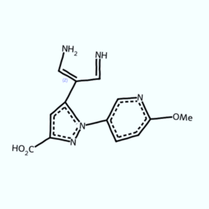 COc1ccc(-n2nc(C(=O)O)cc2/C(C=N)=C/N)cn1